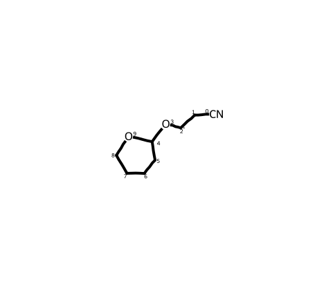 N#CC[CH]OC1CCCCO1